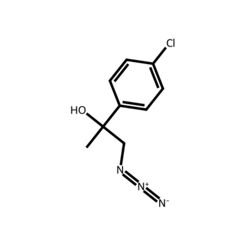 CC(O)(CN=[N+]=[N-])c1ccc(Cl)cc1